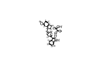 COc1ccc2c(c1)C(CN1CC=C(c3c[nH]c4ccccc34)CC1)CC2.O=C(O)C(=O)O